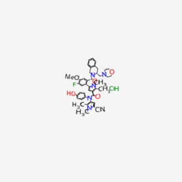 COc1cc(C(=O)N2Cc3ccccc3C[C@H]2CN2CCOCC2)c(-c2cc(C(=O)N(c3ccc(O)cc3)c3cc(C#N)n(C)c3C)c(C)n2C)cc1F.Cl